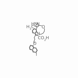 Cc1[nH]nc2c1-c1cccc3c(CCCOc4cccc5cc(I)ccc45)c(C(=O)O)n(c13)CCCCOC2